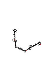 CC1=C(/C=C/C(C)=C/C=C/C(C)=C/C(=O)OCCCCCN(C)CCOCCOCCN(C)CCCCCOC(=O)/C=C(C)/C=C/C=C(C)/C=C/C2=C(C)CCCC2(C)C)C(C)(C)CCC1